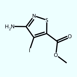 COC(=O)c1snc(N)c1I